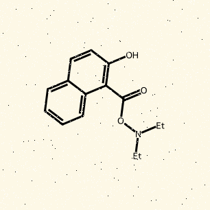 CCN(CC)OC(=O)c1c(O)ccc2ccccc12